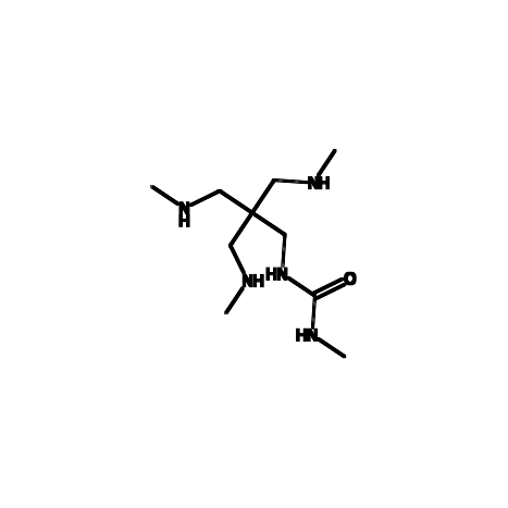 CNCC(CNC)(CNC)CNC(=O)NC